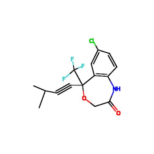 CC(C)C#CC1(C(F)(F)F)OCC(=O)Nc2ccc(Cl)cc21